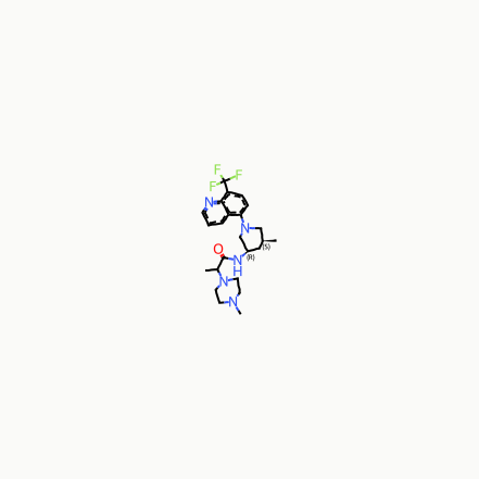 CC(C(=O)N[C@@H]1C[C@H](C)CN(c2ccc(C(F)(F)F)c3ncccc23)C1)N1CCN(C)CC1